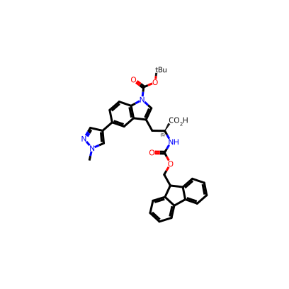 Cn1cc(-c2ccc3c(c2)c(C[C@H](NC(=O)OCC2c4ccccc4-c4ccccc42)C(=O)O)cn3C(=O)OC(C)(C)C)cn1